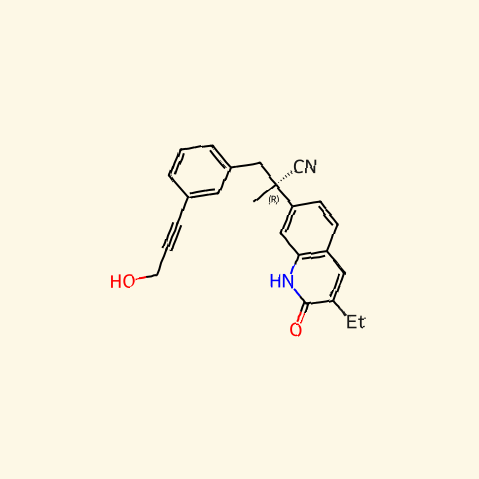 CCc1cc2ccc([C@](C)(C#N)Cc3cccc(C#CCO)c3)cc2[nH]c1=O